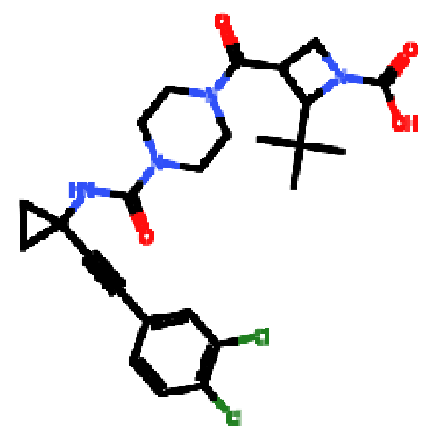 CC(C)(C)C1C(C(=O)N2CCN(C(=O)NC3(C#Cc4ccc(Cl)c(Cl)c4)CC3)CC2)CN1C(=O)O